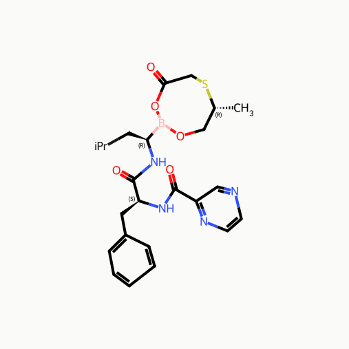 CC(C)C[C@H](NC(=O)[C@H](Cc1ccccc1)NC(=O)c1cnccn1)B1OC[C@@H](C)SCC(=O)O1